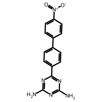 Nc1nc(N)nc(-c2ccc(-c3ccc([N+](=O)[O-])cc3)cc2)n1